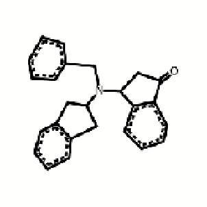 O=C1CC(N(Cc2ccccc2)C2Cc3ccccc3C2)c2ccccc21